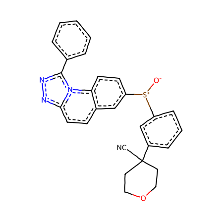 N#CC1(c2cccc([S+]([O-])c3ccc4c(ccc5nnc(-c6ccccc6)n54)c3)c2)CCOCC1